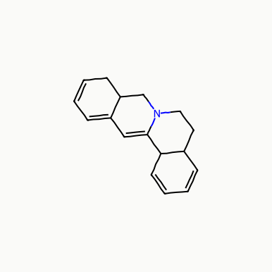 C1=CCC2CN3CCC4C=CC=CC4C3=CC2=C1